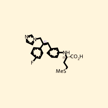 CSCC[C@H](Nc1cccc(/C=C(/Cn2ccnc2)c2ccc(F)cc2)c1)C(=O)O